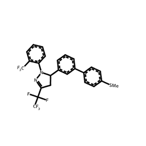 CSc1ccc(-c2cccc(C3CC(C(F)(F)C(F)(F)F)=NN3c3ccccc3C(F)(F)F)c2)cc1